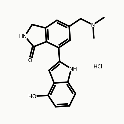 CN(C)Cc1cc2c(c(-c3cc4c(O)cccc4[nH]3)c1)C(=O)NC2.Cl